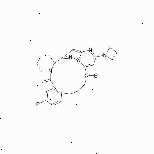 C=C1c2cc(F)ccc2CCCN(CC)c2cc(N3CCC3)nc3cc(nn23)C2CCCCN12